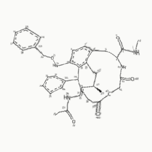 CNC(=O)C1Cc2ccc(NOCc3ccccc3)c(c2C[C@@H](C)C=CNC(C)=O)C(c2ccccc2)CCC(=O)CCC(=O)N1